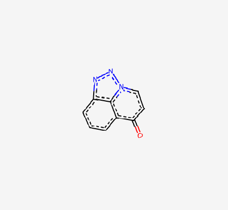 O=c1ccn2nnc3cccc1c32